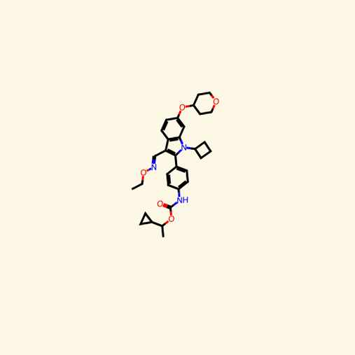 CCON=Cc1c(-c2ccc(NC(=O)OC(C)C3CC3)cc2)n(C2CCC2)c2cc(OC3CCOCC3)ccc12